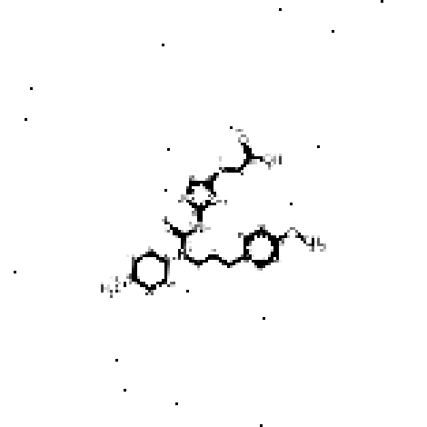 COc1ccc(CCCN(C(=O)Nc2ncc(SCC(=O)O)s2)[C@H]2CC[C@H](C)CC2)cc1